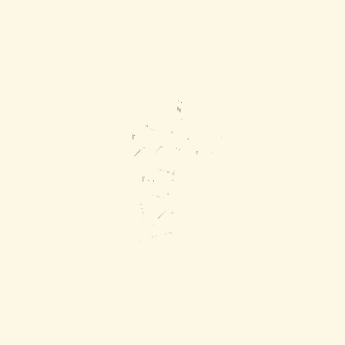 CS(=O)(=O)c1ccc(NC(=N)c2c(NC3(CC#N)CCCOC3)cc[nH]c2=O)cc1